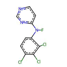 FN(c1ccncn1)c1ccc(Cl)c(Cl)c1Cl